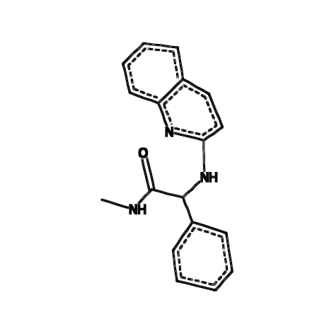 CNC(=O)C(Nc1ccc2ccccc2n1)c1ccccc1